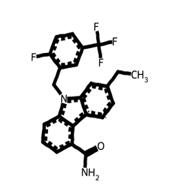 CCc1c[c]c2c3c(C(N)=O)cccc3n(Cc3cc(C(F)(F)F)ccc3F)c2c1